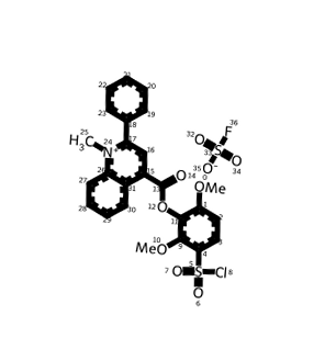 COc1ccc(S(=O)(=O)Cl)c(OC)c1OC(=O)c1cc(-c2ccccc2)[n+](C)c2ccccc12.O=S(=O)([O-])F